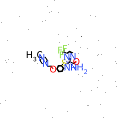 CN1CCN(CCOc2ccc3c(c2)S/C(=C(/C(N)=O)c2nccc(C(F)(F)F)n2)N3)CC1